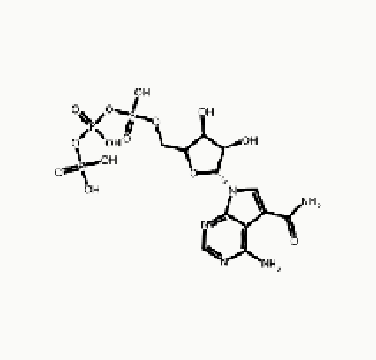 NC(=O)c1cn([C@@H]2OC(COP(=O)(O)OP(=O)(O)OP(=O)(O)O)[C@@H](O)[C@H]2O)c2ncnc(N)c12